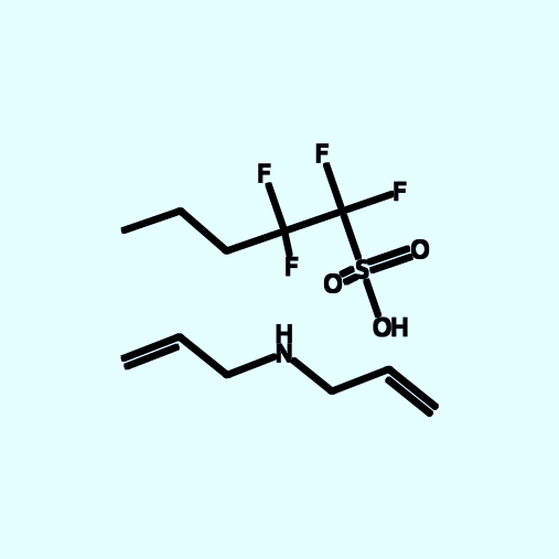 C=CCNCC=C.CCCC(F)(F)C(F)(F)S(=O)(=O)O